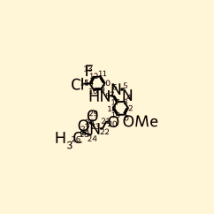 COc1cc2ncnc(Nc3ccc(F)c(Cl)c3)c2cc1OCCN1C[C@H](C)OC1=O